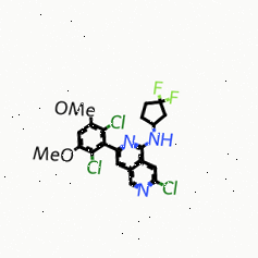 COc1cc(OC)c(Cl)c(-c2cc3cnc(Cl)cc3c(NC3CCC(F)(F)C3)n2)c1Cl